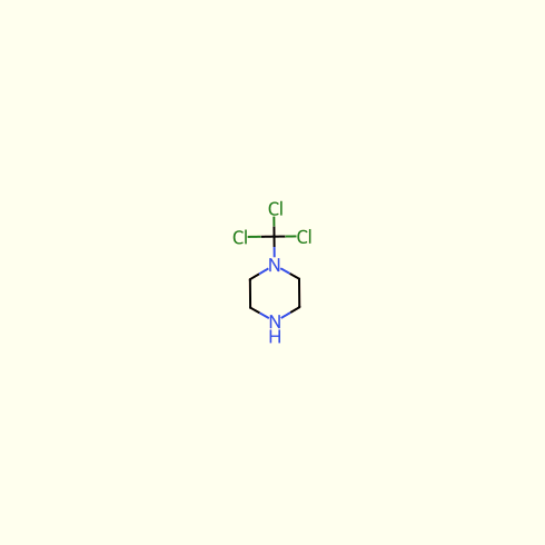 ClC(Cl)(Cl)N1CCNCC1